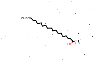 CCCCCCCCCCCCCCCCCCCCCCCCCCCC(C)O